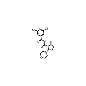 O=C(NC(=O)[C@H]1NCCC1N1CCOCC1)c1cc(Cl)nc(Cl)c1